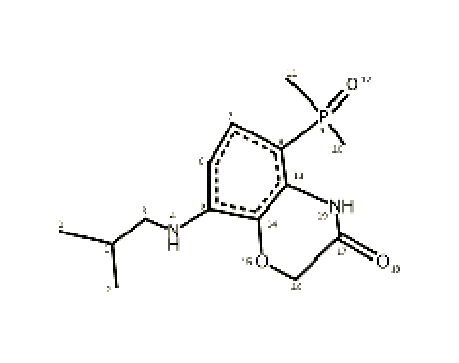 CC(C)CNc1ccc(P(C)(C)=O)c2c1OCC(=O)N2